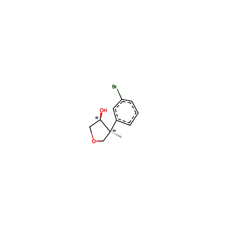 C[C@]1(c2cccc(Br)c2)COC[C@H]1O